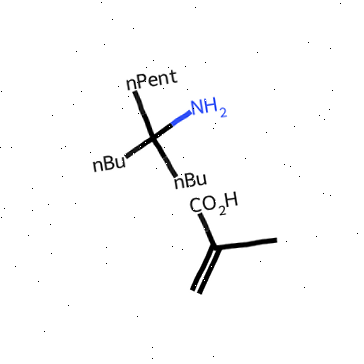 C=C(C)C(=O)O.CCCCCC(N)(CCCC)CCCC